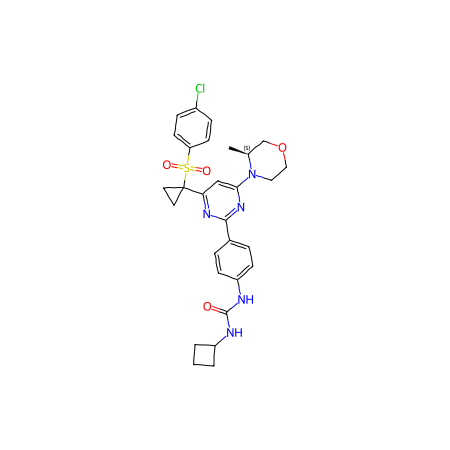 C[C@H]1COCCN1c1cc(C2(S(=O)(=O)c3ccc(Cl)cc3)CC2)nc(-c2ccc(NC(=O)NC3CCC3)cc2)n1